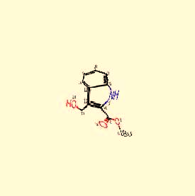 CC(C)(C)OC(=O)c1[nH]c2ccccc2c1CO